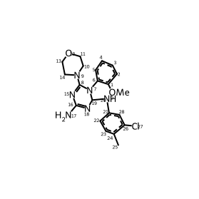 COc1ccccc1N1C(N2CCOCC2)=NC(N)=NC1Nc1ccc(C)c(Cl)c1